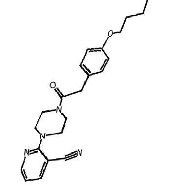 CCCCOc1ccc(CC(=O)N2CCN(c3ncccc3C#N)CC2)cc1